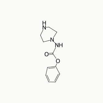 O=C(NN1CCNCC1)Oc1ccccc1